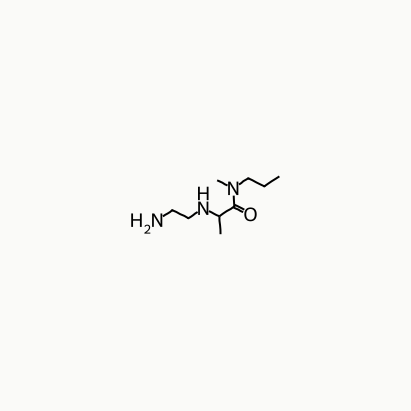 CCCN(C)C(=O)C(C)NCCN